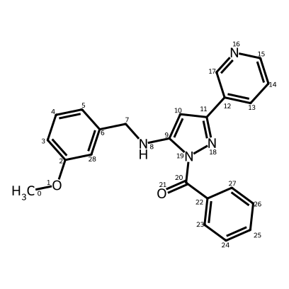 COc1cccc(CNc2cc(-c3cccnc3)nn2C(=O)c2ccccc2)c1